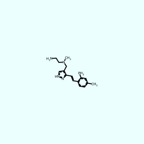 Cc1ccc(/C=C/c2n[nH]cc2CN(C)CCN)c(P)c1